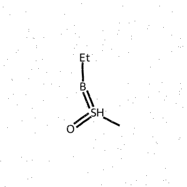 CCB=[SH](C)=O